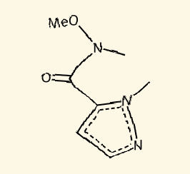 CON(C)C(=O)c1ccnn1C